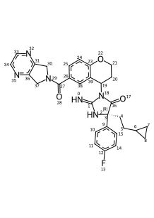 N=C1N[C@](CCC2CC2)(c2ccc(F)cc2)C(=O)N1C1CCOc2ccc(C(=O)N3Cc4nccnc4C3)cc21